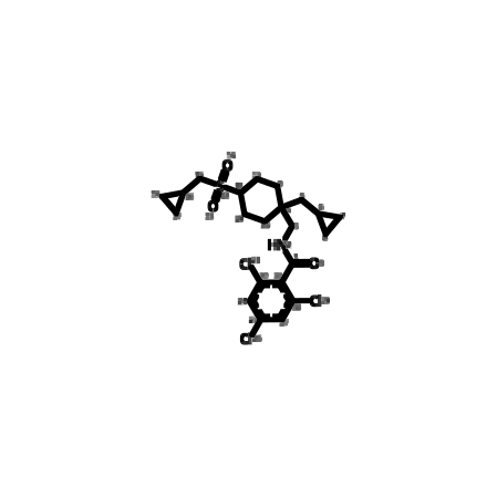 O=C(NCC1(CC2CC2)CCC(S(=O)(=O)CC2CC2)CC1)c1c(Cl)cc(Cl)cc1Cl